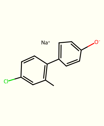 Cc1cc(Cl)ccc1-c1ccc([O-])cc1.[Na+]